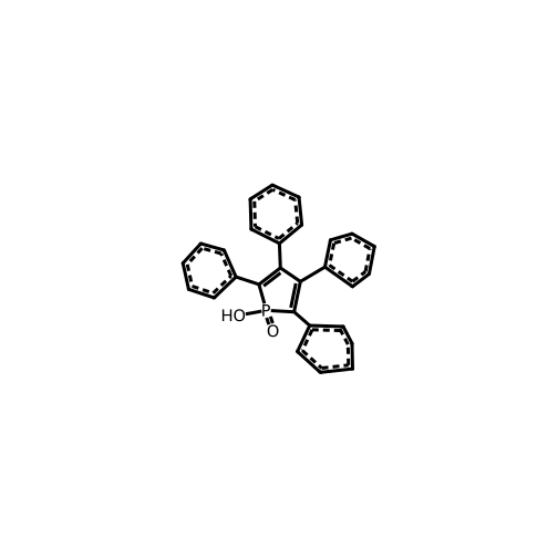 O=P1(O)C(c2ccccc2)=C(c2ccccc2)C(c2ccccc2)=C1c1ccccc1